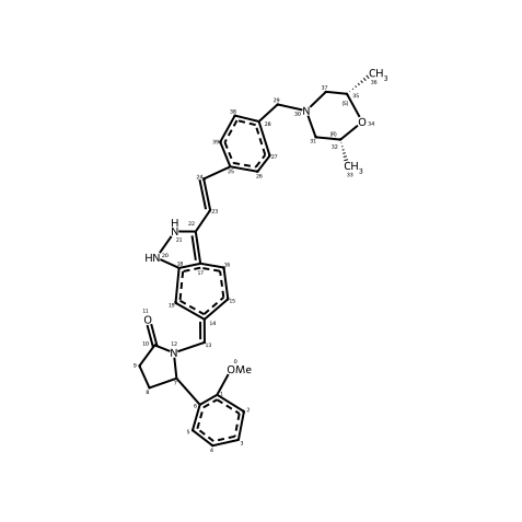 COc1ccccc1C1CCC(=O)N1C=c1ccc2c(c1)NNC=2C=Cc1ccc(CN2C[C@@H](C)O[C@@H](C)C2)cc1